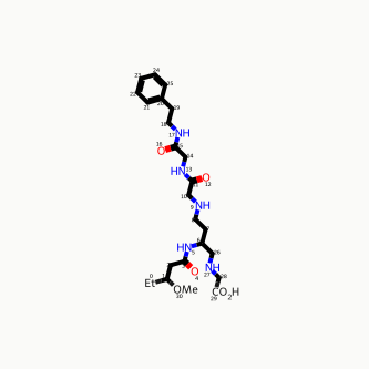 CCC(CC(=O)NC(CCNCC(=O)NCC(=O)NCCc1ccccc1)CNCC(=O)O)OC